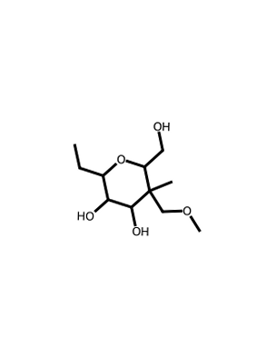 CCC1OC(CO)C(C)(COC)C(O)C1O